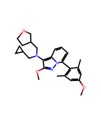 COc1cc(C)c(-c2cccc3c(N(CC4CC4)CC4CCOC4)c(OC)nn23)c(C)c1